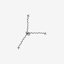 CC(C)(C)CCCCCCCCCCCCC[Si]([O])(CCCCCCCCCCCCCC(C)(C)C)CCCCCCCCCCCCCC(C)(C)C